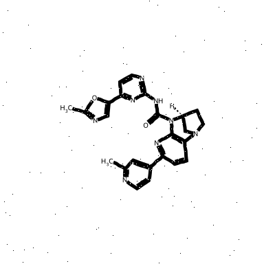 Cc1cc(-c2ccc3c(n2)N(C(=O)Nc2nccc(-c4cnc(C)o4)n2)[C@H]2CCN3C2)ccn1